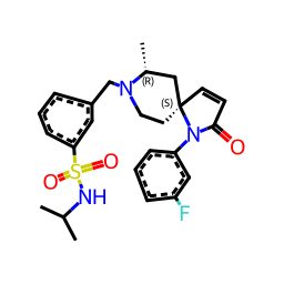 CC(C)NS(=O)(=O)c1cccc(CN2CC[C@@]3(C=CC(=O)N3c3cccc(F)c3)C[C@H]2C)c1